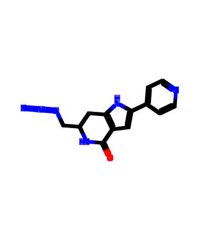 [N-]=[N+]=NCC1Cc2[nH]c(-c3ccncc3)cc2C(=O)N1